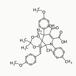 COc1ccc(/C=C/C2(C)N(c3ccc(C)cc3)C(C(=O)O)=C(C(=O)O)C(C)(c3ccc(OC)cc3)C23OOC(C)(C)OO3)cc1